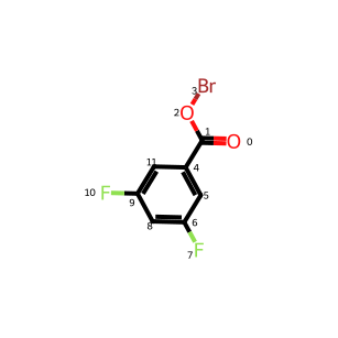 O=C(OBr)c1cc(F)cc(F)c1